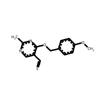 COc1ccc(COc2nc(C)ncc2C=S)cc1